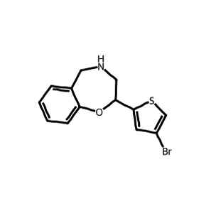 Brc1csc(C2CNCc3ccccc3O2)c1